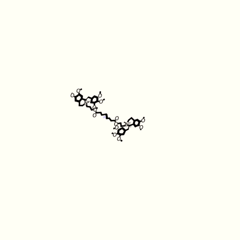 COc1cc2c(cc1OC)[C@@H](Cc1cc(OC)c(OC)c(OC)c1)[N@+](C)(CCCOC(=O)CC/C=C/CCC(=O)OCCC[N@+]1(C)CCc3cc(OC)c(OC)cc3[C@H]1Cc1cc(OC)c(OC)c(OC)c1)CC2